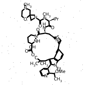 CCn1c(-c2cccnc2[C@H](C)OC)c2c3cc(ccc31)-c1csc(n1)C[C@H](NC(=O)[C@H](C(C)C)N(C)C(=O)N1CC3(CN(C)CCO3)C1)C(=O)N1CCC[C@@](O)(N1)C(=O)OCC(C)(C)C2